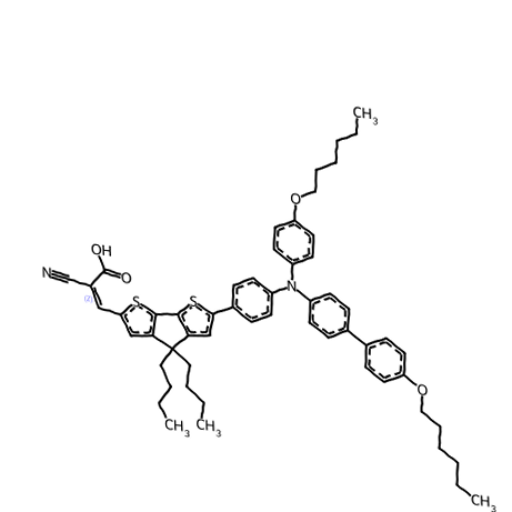 CCCCCCOc1ccc(-c2ccc(N(c3ccc(OCCCCCC)cc3)c3ccc(-c4cc5c(s4)-c4sc(/C=C(/C#N)C(=O)O)cc4C5(CCCC)CCCC)cc3)cc2)cc1